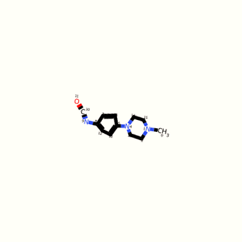 CN1CCN(c2ccc(N=C=O)cc2)CC1